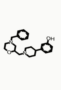 Oc1cccc(C2CCN(CC3CN(Cc4ccccc4)CCO3)CC2)c1